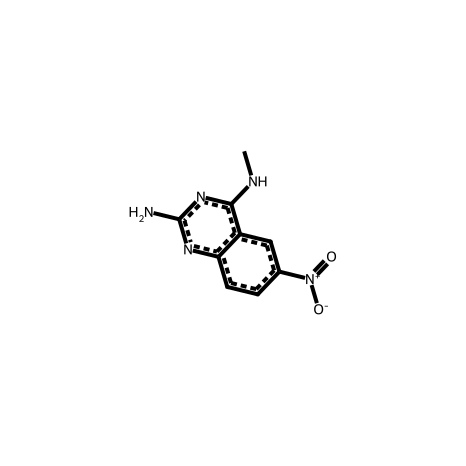 CNc1nc(N)nc2ccc([N+](=O)[O-])cc12